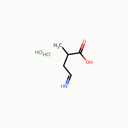 CC(CC=N)C(=O)O.Cl.Cl